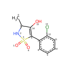 CC1NS(=O)(=O)C(c2ccccc2Cl)=C1O